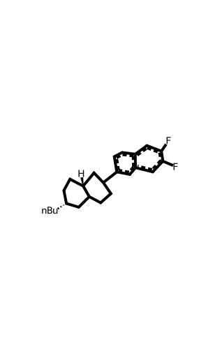 CCCC[C@@H]1CC[C@@H]2CC(c3ccc4cc(F)c(F)cc4c3)CCC2C1